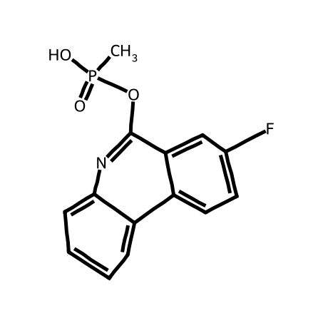 CP(=O)(O)Oc1nc2ccccc2c2ccc(F)cc12